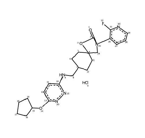 Cl.O=C1OC2(CCC(CNc3ccc(OC4CCCC4)nn3)CC2)CN1c1cccnc1F